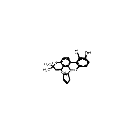 CC1=CC(C)(C)Nc2ccc3c(c21)[C@H](C1CC=CC1)Oc1ccc(O)c(Cl)c1-3